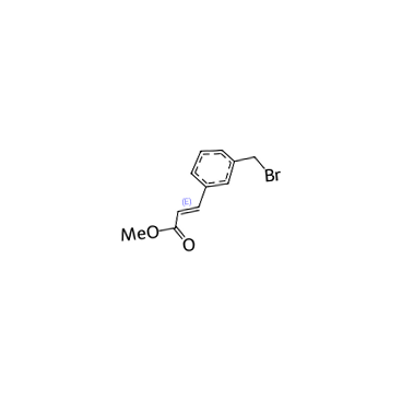 COC(=O)/C=C/c1cccc(CBr)c1